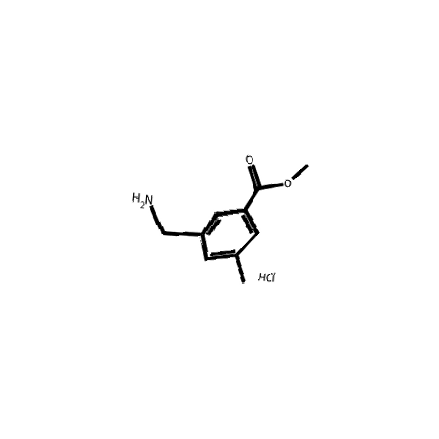 COC(=O)c1cc(C)cc(CN)c1.Cl